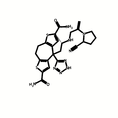 C=C(CN[C@@H](C)CC1(c2nn[nH]n2)c2cc(C(N)=O)sc2CCc2sc(C(N)=O)cc21)N1CCCC1C#N